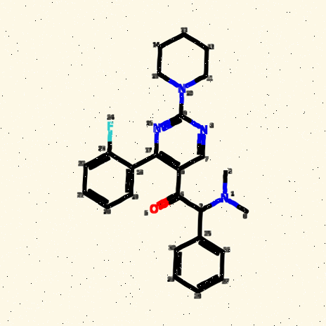 CN(C)C(C(=O)c1cnc(N2CCCCC2)nc1-c1ccccc1F)c1ccccc1